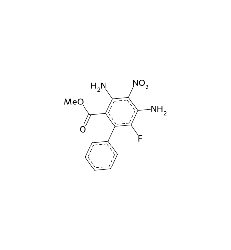 COC(=O)c1c(N)c([N+](=O)[O-])c(N)c(F)c1-c1ccccc1